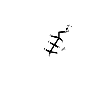 CNCC(F)(F)C(F)(F)C(F)(F)F.Cl